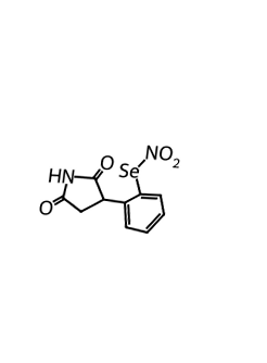 O=C1CC(c2ccccc2[Se][N+](=O)[O-])C(=O)N1